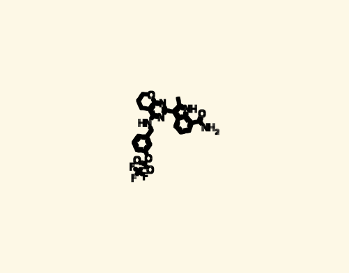 Cc1[nH]c2c(C(N)=O)cccc2c1-c1nc(NCc2cccc(OS(=O)(=O)C(F)(F)F)c2)c2c(n1)OCCC2